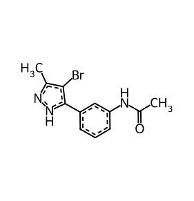 CC(=O)Nc1cccc(-c2[nH]nc(C)c2Br)c1